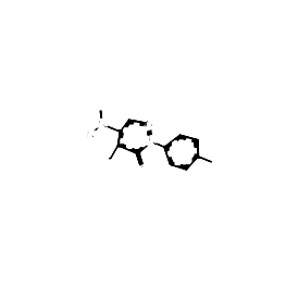 Cc1ccc(-n2ncc(N(C)N)c(Cl)c2=O)cc1